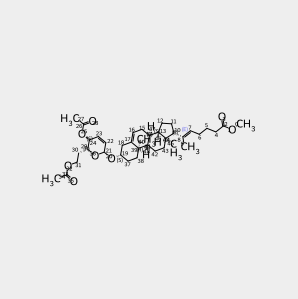 COC(=O)CCC/C=C(\C)[C@H]1CC[C@H]2[C@@H]3CC=C4C[C@@H](OC5C=C[C@H](OC(C)=O)[C@@H](CCOC(C)=O)O5)CC[C@]4(C)[C@H]3CC[C@]12C